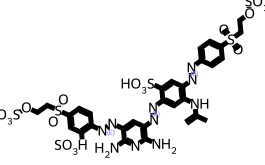 C=C(C)Nc1cc(/N=N/c2cc(/N=N/c3ccc(S(=O)(=O)CCOS(=O)(=O)O)cc3S(=O)(=O)O)c(N)nc2N)c(S(=O)(=O)O)cc1/N=N/c1ccc(S(=O)(=O)CCOS(=O)(=O)O)cc1